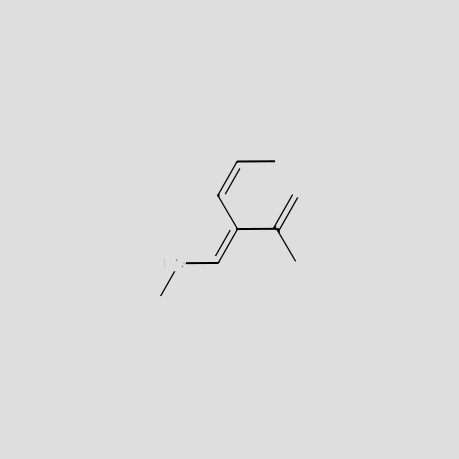 C=C(C)C(/C=C\C)=C/NC